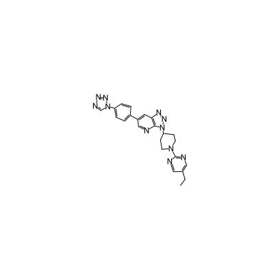 CCc1cnc(N2CCC(n3nnc4cc(-c5ccc(-n6cnnn6)cc5)cnc43)CC2)nc1